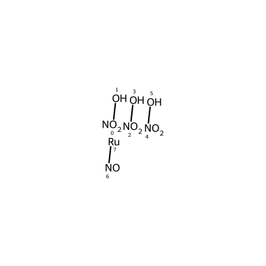 O=[N+]([O-])O.O=[N+]([O-])O.O=[N+]([O-])O.O=[N][Ru]